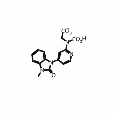 Cn1c(=O)n(-c2ccnc(N(CC(Cl)(Cl)Cl)C(=O)O)c2)c2ccccc21